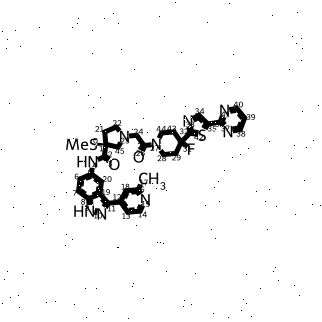 CS[C@@]1(C(=O)Nc2ccc3[nH]nc(-c4ccnc(C)c4)c3c2)CCN(CC(=O)N2CCC(F)(c3ncc(-c4ncccn4)s3)CC2)C1